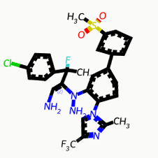 Cc1nc(C(F)(F)F)cn1-c1ccc(-c2cccc(S(C)(=O)=O)c2)cc1N(N)/C(=C\N)C(C)(F)c1ccc(Cl)cc1